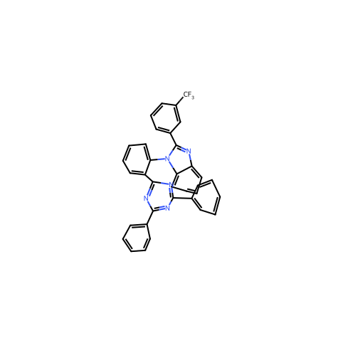 FC(F)(F)c1cccc(-c2nc3ccccc3n2-c2ccccc2-c2nc(-c3ccccc3)nc(-c3ccccc3)n2)c1